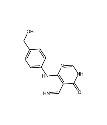 N=Cc1c(Nc2ccc(CO)cc2)nc[nH]c1=O